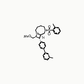 COC[C@@H]1[C@@H](c2ccc(-c3cccc(C)c3)cc2)[C@@H]2CN(S(=O)(=O)c3ccccc3C)CCCCN12